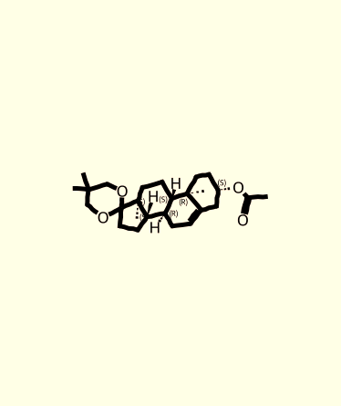 CC(=O)O[C@H]1CC[C@@]2(C)C(=CC[C@@H]3[C@@H]2CC[C@@]2(C)[C@H]3CCC23OCC(C)(C)CO3)C1